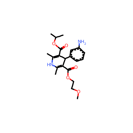 COCCOC(=O)C1=C(C)NC(C)=C(C(=O)OC(C)C)C1c1cccc(N)c1